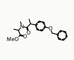 COC(=O)C(C)N(C)C(=O)C(C)c1ccc(OCc2ccccc2)cc1